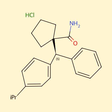 CC(C)c1ccc([C@H](c2ccccc2)C2(C(N)=O)CCCC2)cc1.Cl